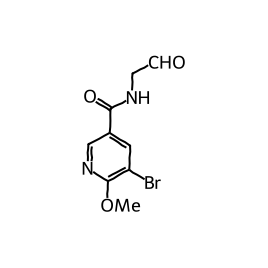 COc1ncc(C(=O)NCC=O)cc1Br